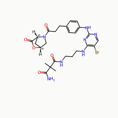 CC(C)(C(N)=O)C(=O)NCCCNc1nc(Nc2ccc(CCC(=O)N3C[C@H]4C[C@@H]3C(=O)O4)cc2)ncc1Br